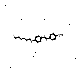 CNc1ccc(/C=C/c2ccc(OCCCCCCF)cc2)cc1